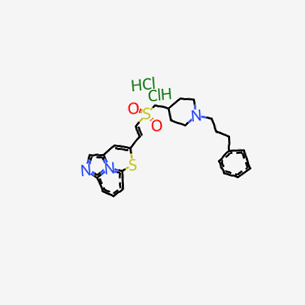 Cl.Cl.O=S(=O)(/C=C/C1=Cc2cnc3cccc(n23)S1)CC1CCN(CCCc2ccccc2)CC1